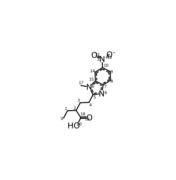 CCC(CCc1nc2ccc([N+](=O)[O-])cc2n1C)C(=O)O